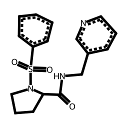 O=C(NCc1cccnc1)C1CCCN1S(=O)(=O)c1ccccc1